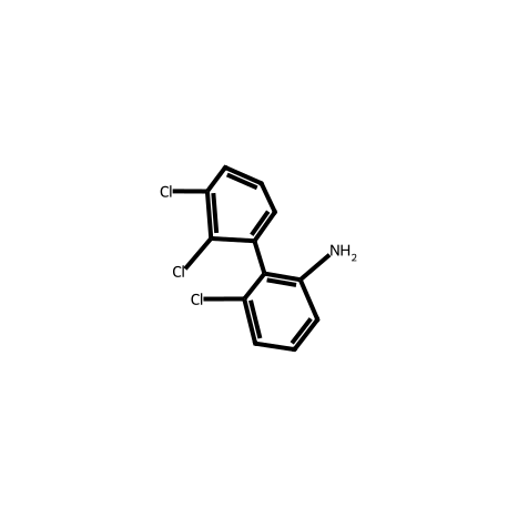 Nc1cccc(Cl)c1-c1cccc(Cl)c1Cl